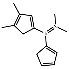 CC1=C(C)C[C]([Ti]([C]2=CC=CC2)=[Si](C)C)=C1